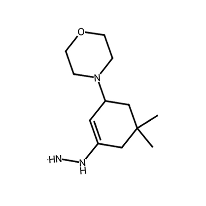 CC1(C)CC(N[NH])=CC(N2CCOCC2)C1